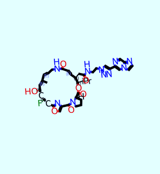 CC1=C\[C@@H](O)C[C@@H](F)Cc2nc(co2)C(=O)N2CCC[C@@H]2C(=O)O[C@H](C(C)C)[C@H](CC(=O)NCCn2cc(-c3cn4ccnc4cn3)nn2)/C=C/C(=O)NC\C=C\1